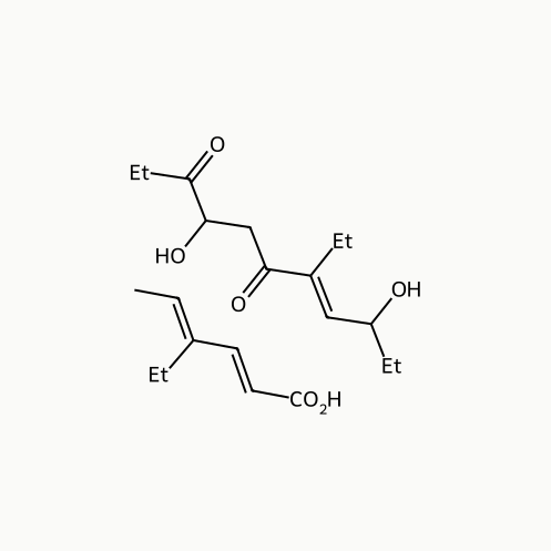 C/C=C(/C=C/C(=O)O)CC.CCC(=O)C(O)CC(=O)/C(=C/C(O)CC)CC